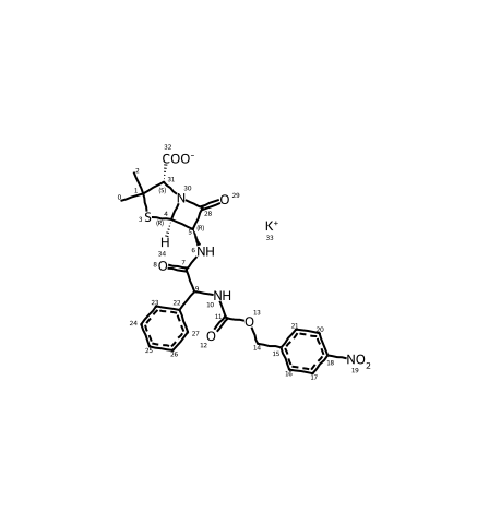 CC1(C)S[C@@H]2[C@H](NC(=O)C(NC(=O)OCc3ccc([N+](=O)[O-])cc3)c3ccccc3)C(=O)N2[C@H]1C(=O)[O-].[K+]